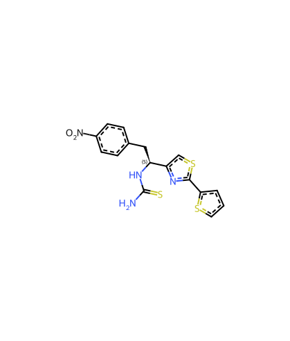 NC(=S)N[C@@H](Cc1ccc([N+](=O)[O-])cc1)c1csc(-c2cccs2)n1